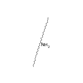 CCCCCCCCCCCCCCCCCC(CN)CCCCCCCCCCCCCCCC